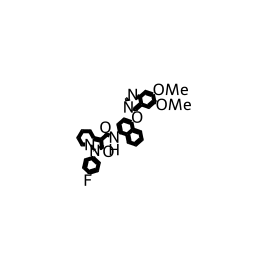 COc1cc2ncnc(Oc3ccc(NC(=O)c4c5n(n(-c6ccc(F)cc6)c4=O)CCCC5)c4ccccc34)c2cc1OC